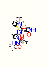 CC(C)[C@H](NC(=O)C(F)(F)F)C(=O)N1CC[C@@H](C)C[C@H]1C(=O)N[C@@H](C[C@@H]1CCNC1=O)C(=O)c1nc2c(C(F)(F)F)cccc2s1